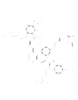 CC1(C)C(/C=C/C2=C(c3ccc(CCC(=O)ON4C(=O)CCC4=O)cc3)C(=C/C=C3/C(CCC[N+](C)(C)C)c4ccc(S(C)(=O)=O)cc4C3(C)C)/CCC2)=[N+](CCC[N+](C)(C)C)c2ccc(S(=O)(=O)O)cc21